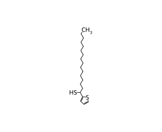 CCCCCCCCCCCCCCCC(S)c1cccs1